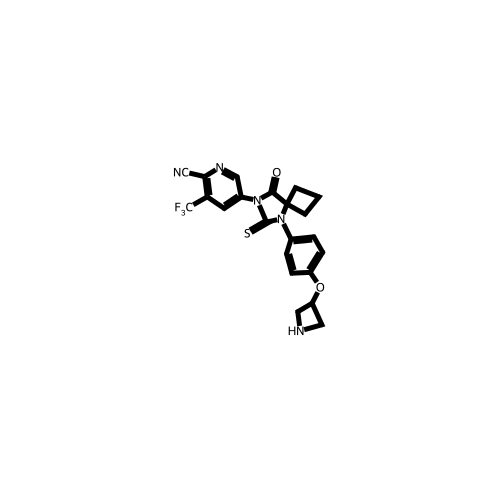 N#Cc1ncc(N2C(=O)C3(CCC3)N(c3ccc(OC4CNC4)cc3)C2=S)cc1C(F)(F)F